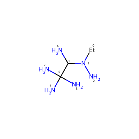 CCN(N)C(N)C(N)(N)N